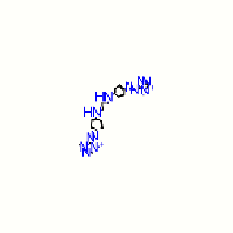 Cn1nc[n+](C)c1N=Nc1ccc(NCCCNc2ccc(N=Nc3n(C)nc[n+]3C)cc2)cc1